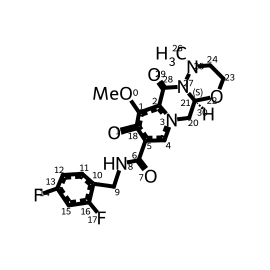 COc1c2n(cc(C(=O)NCc3ccc(F)cc3F)c1=O)C[C@@H]1OCCN(C)N1C2=O